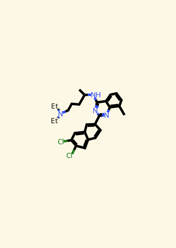 CCN(CC)CCCC(C)Nc1nc(-c2ccc3cc(Cl)c(Cl)cc3c2)nc2c(C)cccc12